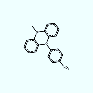 CN1c2ccccc2[S+](c2ccc([N+](=O)[O-])cc2)c2ccccc21